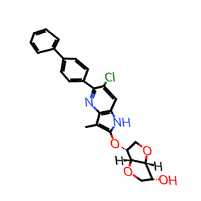 Cc1c(O[C@@H]2CO[C@H]3[C@@H]2OC[C@H]3O)[nH]c2cc(Cl)c(-c3ccc(-c4ccccc4)cc3)nc12